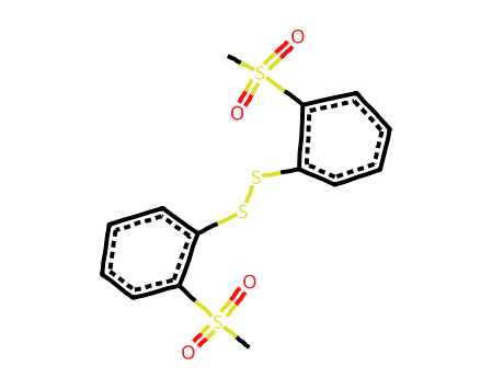 CS(=O)(=O)c1ccccc1SSc1ccccc1S(C)(=O)=O